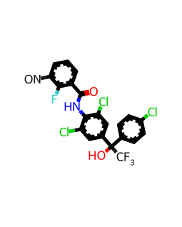 O=Nc1cccc(C(=O)Nc2c(Cl)cc(C(O)(c3ccc(Cl)cc3)C(F)(F)F)cc2Cl)c1F